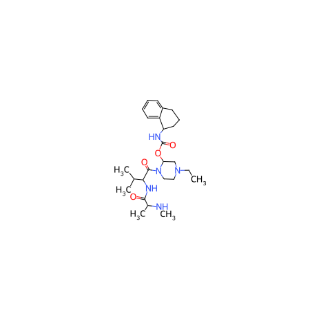 CCN1CCN(C(=O)C(NC(=O)C(C)NC)C(C)C)C(OC(=O)NC2CCCc3ccccc32)C1